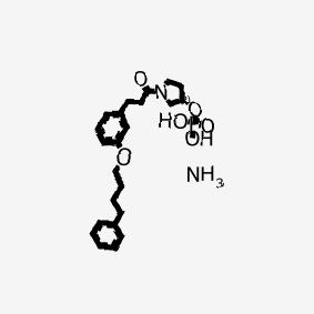 N.O=C(CCc1cccc(OCCCCc2ccccc2)c1)N1CC[C@@H](OP(=O)(O)O)C1